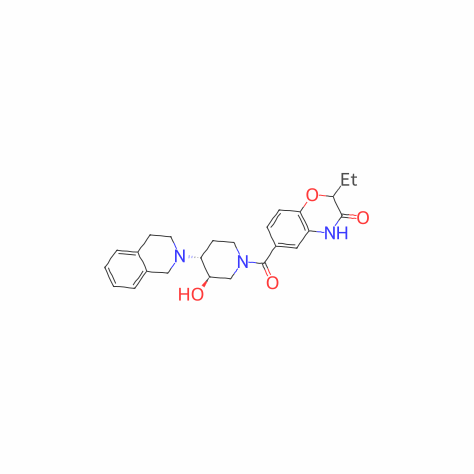 CCC1Oc2ccc(C(=O)N3CC[C@@H](N4CCc5ccccc5C4)[C@H](O)C3)cc2NC1=O